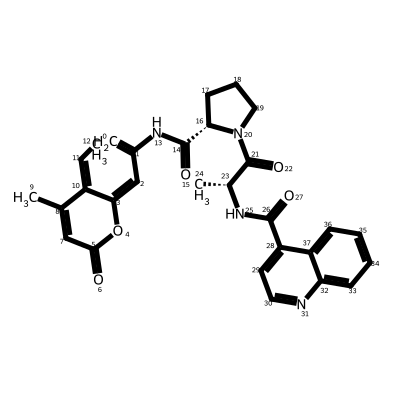 C=C(/C=c1/oc(=O)cc(C)/c1=C/C)NC(=O)[C@@H]1CCCN1C(=O)[C@@H](C)NC(=O)c1ccnc2ccccc12